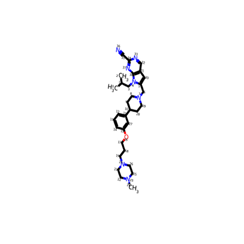 CC(C)Cn1c(CN2CCC(c3cccc(OCCCN4CCN(C)CC4)c3)CC2)cc2cnc(C#N)nc21